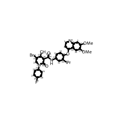 COc1cc2nccc(Oc3ccc(NC(=O)c4c(C)c(Br)cn(-c5ccc(F)cc5)c4=O)cc3C(C)C)c2cc1OC